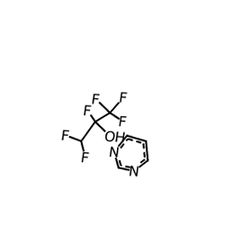 OC(F)(C(F)F)C(F)(F)F.c1cncnc1